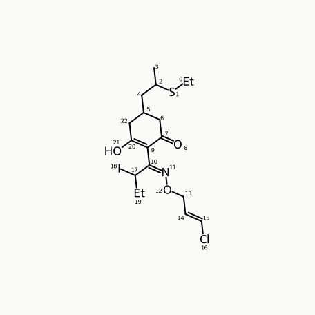 CCSC(C)CC1CC(=O)C(C(=NOCC=CCl)C(I)CC)=C(O)C1